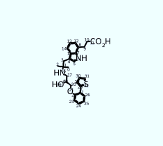 CC(C)(Cc1c[nH]c2c(CCC(=O)O)cccc12)NC[C@H](O)COc1ccccc1-c1cccs1